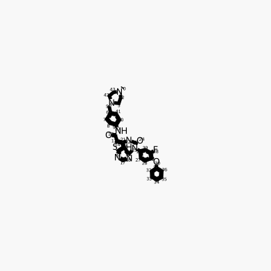 CN1CCN(Cc2ccc(NC(=O)c3sc4ncnc5c4c3NC(=O)N5c3ccc(Oc4ccccc4)c(F)c3)cc2)CC1